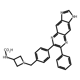 O=C(O)NC1CN(Cc2ccc(-c3nc4cc5nc[nH]c5cc4nc3-c3ccccc3)cc2)C1